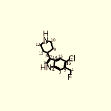 FCc1cc2[nH]cc(C3CCNCC3)c2cc1Cl